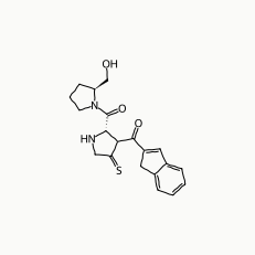 O=C(C1=Cc2ccccc2C1)C1C(=S)CN[C@@H]1C(=O)N1CCC[C@H]1CO